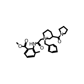 COC(=O)c1cccc(C)c1NC(=O)C[N+]1(Cc2ccccc2)CCCC(C(=O)N2CCCC2)C1